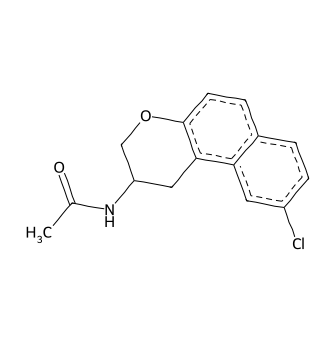 CC(=O)NC1COc2ccc3ccc(Cl)cc3c2C1